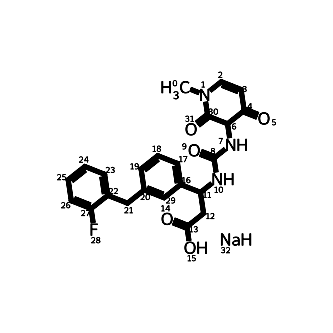 CN1C=CC(=O)C(NC(=O)NC(CC(=O)O)c2cccc(Cc3ccccc3F)c2)C1=O.[NaH]